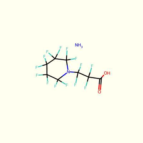 N.O=C(O)C(F)(F)C(F)(F)N1C(F)(F)C(F)(F)C(F)(F)C(F)(F)C1(F)F